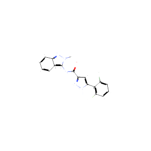 Cn1nc2ccccc2c1NC(=O)c1cc(-c2c(F)cccc2Cl)[nH]n1